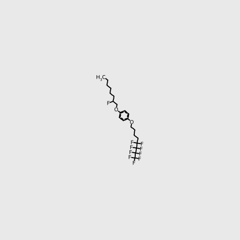 CCCCCCC(F)COc1ccc(OCCCCC(F)(F)C(F)(F)C(F)(F)C(F)(F)F)cc1